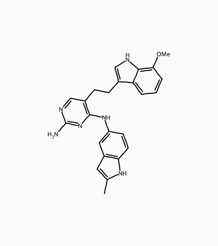 COc1cccc2c(CCc3cnc(N)nc3Nc3ccc4[nH]c(C)cc4c3)c[nH]c12